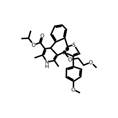 COCCOC(=O)C1=C(C)NC(C)=C(C(=O)OC(C)C)C1c1ccccc1-c1nc(-c2ccc(OC)cc2)cs1